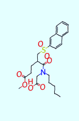 CCCCCN(CC(=O)O)C(=O)C(CCC(=O)OC)CS(=O)(=O)c1ccc2ccccc2c1